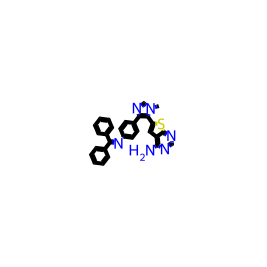 Cn1cnc(-c2ccc(N=C(c3ccccc3)c3ccccc3)cc2)c1-c1cc2c(N)ncnc2s1